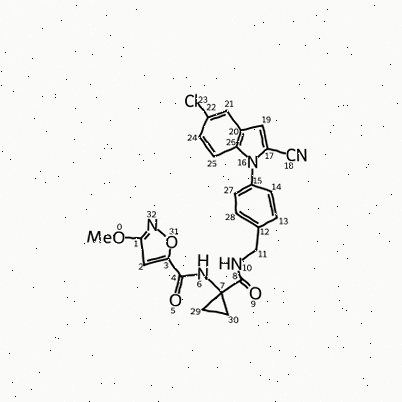 COc1cc(C(=O)NC2(C(=O)NCc3ccc(-n4c(C#N)cc5cc(Cl)ccc54)cc3)CC2)on1